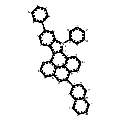 c1ccc(-c2ccc3c4c5cccc6cc(-c7ccc8ccccc8c7)c7cccc(c7c65)c4n(-c4ccccc4)c3c2)cc1